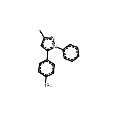 Cc1cc(-c2ccc(C(C)(C)C)cc2)n(-c2ccccc2)n1